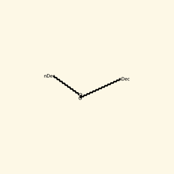 CCCCCCCCCCCCCCCCCCCCCCCCCCCCCCCCCCCC(=O)OCCCCCCCCCCCCCCCCCCCCCCCCCCCCC